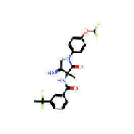 CC(=N)C(C)(NC(=O)c1cccc(C(C)(F)F)c1)C(=O)Nc1ccc(OC(F)F)cc1